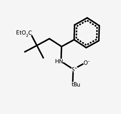 CCOC(=O)C(C)(C)CC(N[S+]([O-])C(C)(C)C)c1ccccc1